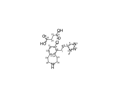 Cn1nncc1SCc1c(Cl)ccc2c1CCNCC2.O=C(O)CCC(=O)O